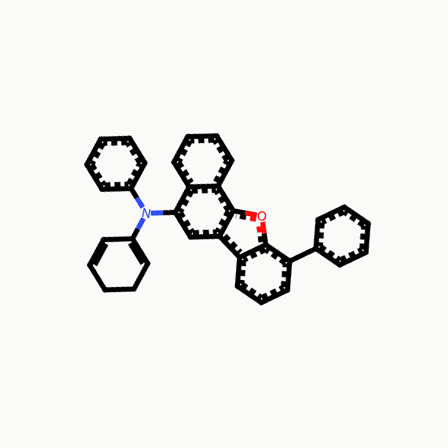 C1=CC(N(c2ccccc2)c2cc3c4cccc(-c5ccccc5)c4oc3c3ccccc23)=CCC1